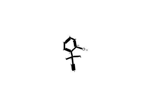 C#CC(C)(C)c1ccccc1[O]